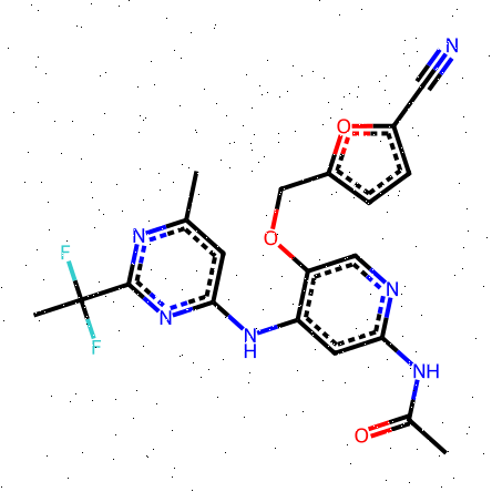 CC(=O)Nc1cc(Nc2cc(C)nc(C(C)(F)F)n2)c(OCc2ccc(C#N)o2)cn1